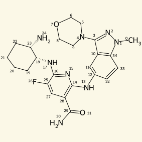 Cn1nc(N2CCOCC2)c2cc(Nc3nc(N[C@@H]4CCCC[C@@H]4N)c(F)cc3C(N)=O)ccc21